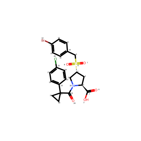 O=C(O)[C@@H]1C[C@@H](S(=O)(=O)Cc2ccc(Br)cc2)CN1C(=O)C1(c2ccc(Cl)cc2)CC1